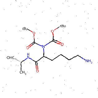 C[C@H]([C]=O)NC(=O)C(CCCCN)N(C(=O)OC(C)(C)C)C(=O)OC(C)(C)C